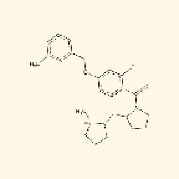 Cc1cccc(COc2ccc(C(=O)N3CCCC3CN3CCC[C@@H]3C)c(F)c2)n1